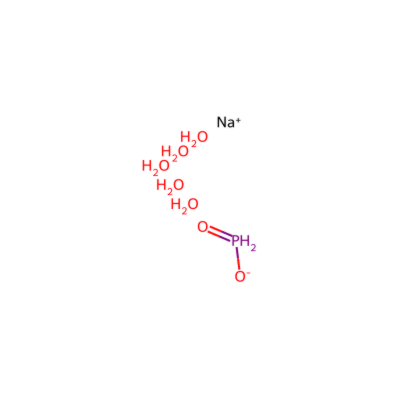 O.O.O.O.O.O=[PH2][O-].[Na+]